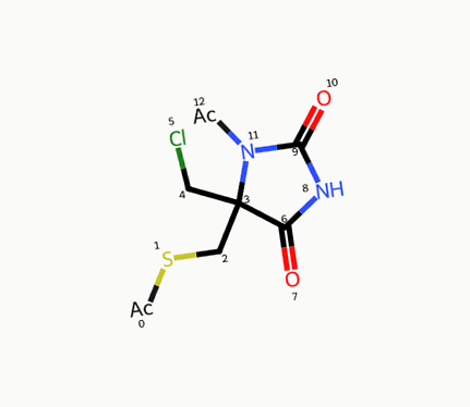 CC(=O)SCC1(CCl)C(=O)NC(=O)N1C(C)=O